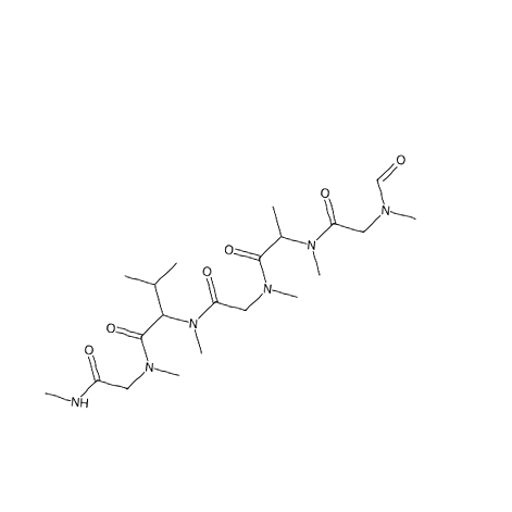 CNC(=O)CN(C)C(=O)C(C(C)C)N(C)C(=O)CN(C)C(=O)C(C)N(C)C(=O)CN(C)C=O